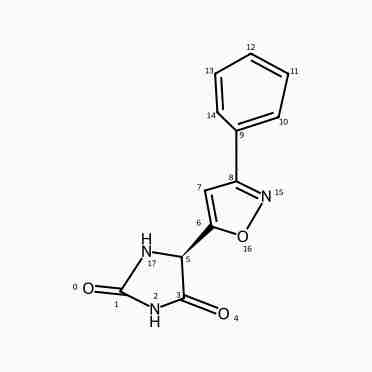 O=C1NC(=O)[C@H](c2cc(-c3ccccc3)no2)N1